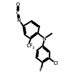 CN(c1ccc(F)c(Cl)c1)c1ccc(N=C=O)cc1C(F)(F)F